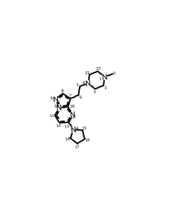 CN1CCN(CCc2cnn3ccc(N4CCCC4)nc23)CC1